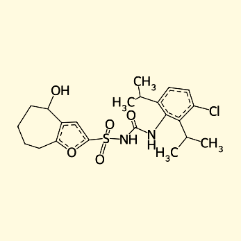 CC(C)c1ccc(Cl)c(C(C)C)c1NC(=O)NS(=O)(=O)c1cc2c(o1)CCCCC2O